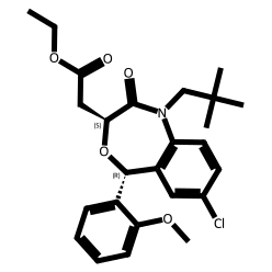 CCOC(=O)C[C@@H]1O[C@@H](c2ccccc2OC)c2cc(Cl)ccc2N(CC(C)(C)C)C1=O